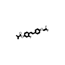 C=C(C)C(=O)Oc1ccc(/C=C/c2ccc(OC=C(F)F)cc2)c(F)c1